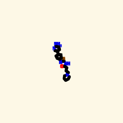 Nc1ccc(-c2ccc3nc(NC(=O)CCCN4CCCCC4)sc3c2)cn1